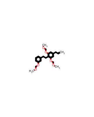 C=CCc1cc(OCOC)c(CCc2cccc(OCOC)c2)c(OCOC)c1